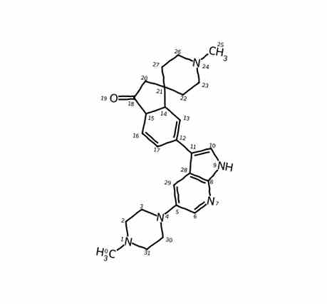 CN1CCN(c2cnc3[nH]cc(C4=CC5C(C=C4)C(=O)CC54CCN(C)CC4)c3c2)CC1